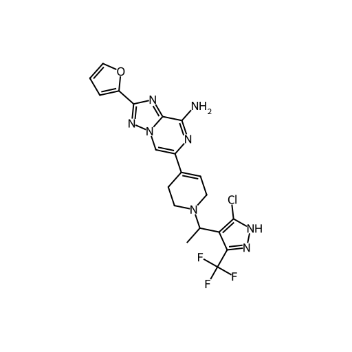 CC(c1c(C(F)(F)F)n[nH]c1Cl)N1CC=C(c2cn3nc(-c4ccco4)nc3c(N)n2)CC1